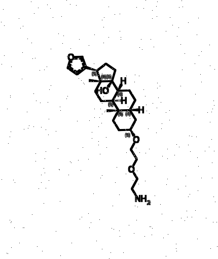 C[C@]12CC[C@H](OCCOCCN)C[C@H]1CC[C@@H]1[C@@H]2CC[C@]2(C)[C@@H](c3ccoc3)CC[C@]12O